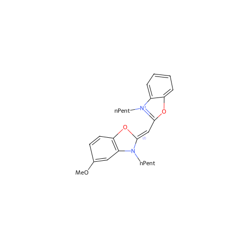 CCCCCN1/C(=C/c2oc3ccccc3[n+]2CCCCC)Oc2ccc(OC)cc21